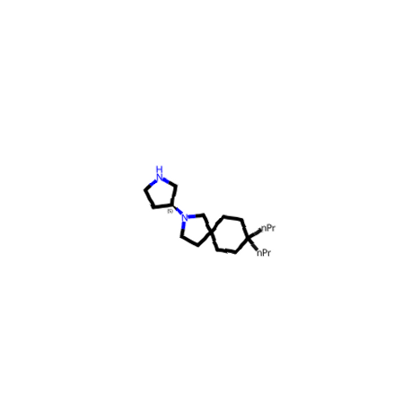 CCCC1(CCC)CCC2(CCN([C@H]3CCNC3)C2)CC1